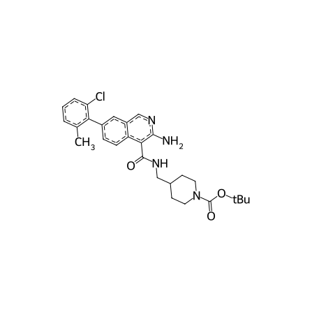 Cc1cccc(Cl)c1-c1ccc2c(C(=O)NCC3CCN(C(=O)OC(C)(C)C)CC3)c(N)ncc2c1